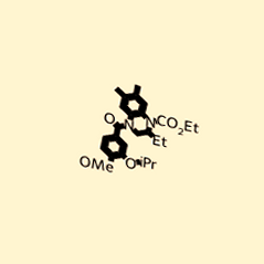 CCOC(=O)N1c2cc(C)c(C)cc2N(C(=O)c2ccc(OC)c(OC(C)C)c2)CC1CC